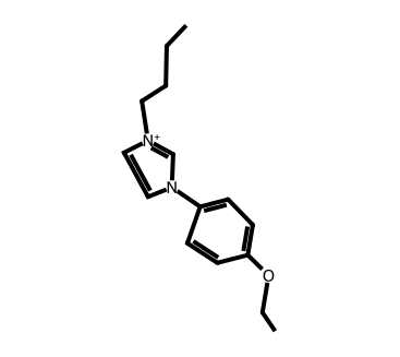 CCCC[n+]1ccn(-c2ccc(OCC)cc2)c1